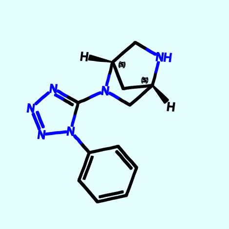 c1ccc(-n2nnnc2N2C[C@@H]3C[C@H]2CN3)cc1